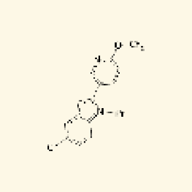 CC(C)n1c(-c2ccc(OC(F)(F)F)nc2)cc2cc(Cl)ccc21